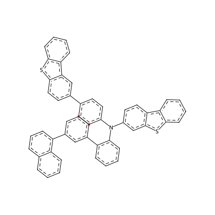 c1cc(-c2ccccc2N(c2ccc(-c3ccc4sc5ccccc5c4c3)cc2)c2ccc3c(c2)sc2ccccc23)cc(-c2cccc3ccccc23)c1